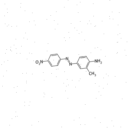 Cc1cc(/N=N/c2ccc([N+](=O)[O-])cc2)ccc1N